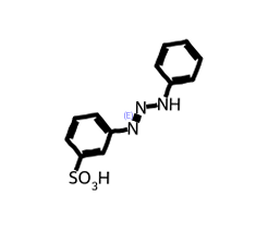 O=S(=O)(O)c1cccc(/N=N/Nc2ccccc2)c1